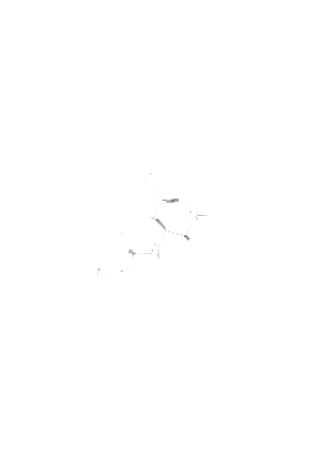 CCC(=O)Nc1cc(Br)cn(C)c1=O